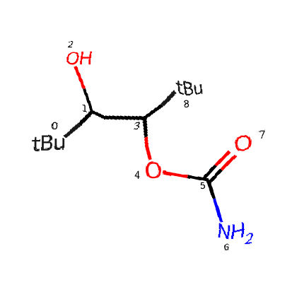 CC(C)(C)C(O)C(OC(N)=O)C(C)(C)C